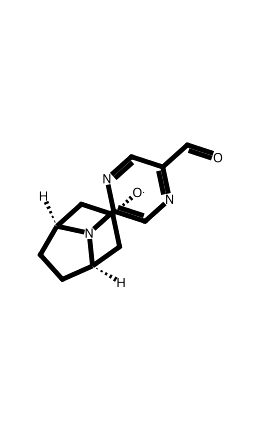 [O][C@@H]1C[C@H]2CC[C@@H](C1)N2c1cnc(C=O)cn1